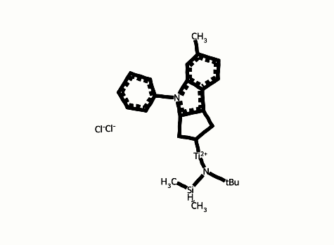 Cc1ccc2c3c(n(-c4ccccc4)c2c1)C[CH]([Ti+2][N]([SiH](C)C)C(C)(C)C)C3.[Cl-].[Cl-]